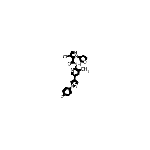 Cc1cc(-c2cnn(-c3ccc(F)cc3)c2)cnc1NC(=O)c1c(Cl)cnn1C1CCOC1